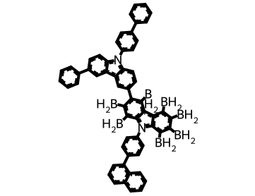 Bc1c(B)c(B)c2c(c1B)c1c(B)c(-c3ccc4c(c3)c3cc(-c5ccccc5)ccc3n4-c3ccc(-c4ccccc4)cc3)c(B)c(B)c1n2-c1ccc(-c2cccc3ccccc23)cc1